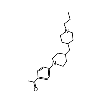 CCCN1CCC(CC2CCN(c3ccc(C(C)=O)cc3)CC2)CC1